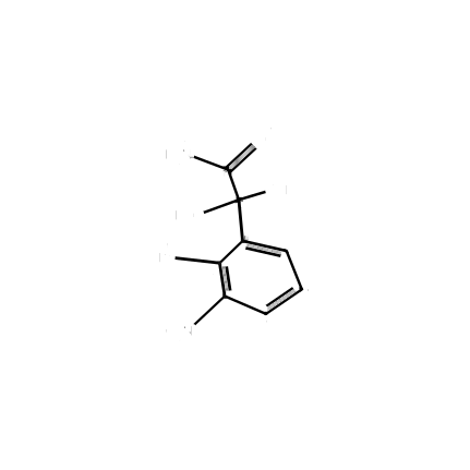 CC(C)(C(N)=O)c1cccc([N+](=O)[O-])c1Br